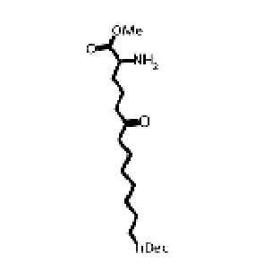 CCCCCCCCCCCCCCCCCC(=O)CCCC(N)C(=O)OC